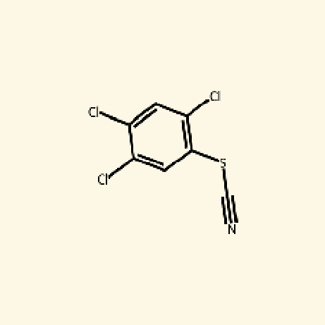 N#CSc1cc(Cl)c(Cl)cc1Cl